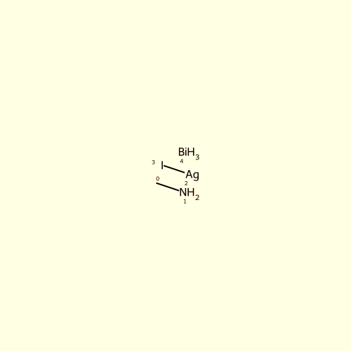 CN.[Ag][I].[BiH3]